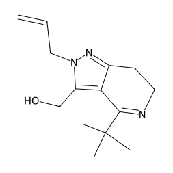 C=CCn1nc2c(c1CO)C(C(C)(C)C)=NCC2